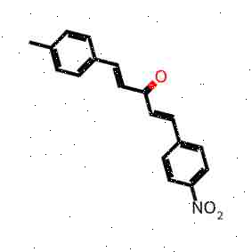 Cc1ccc(C=CC(=O)C=Cc2ccc([N+](=O)[O-])cc2)cc1